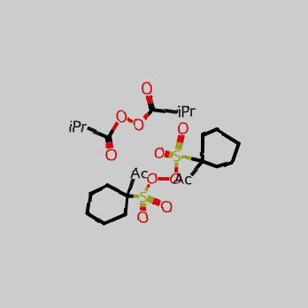 CC(=O)C1(S(=O)(=O)OOS(=O)(=O)C2(C(C)=O)CCCCC2)CCCCC1.CC(C)C(=O)OOC(=O)C(C)C